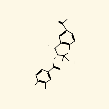 CC(=O)c1ccc2c(c1)[C@@H](N)[C@H](OC(=O)c1ccc(F)c(Cl)c1)C(C)(C)O2